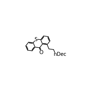 CCCCCCCCCCCCc1cccc2sc3ccccc3c(=O)c12